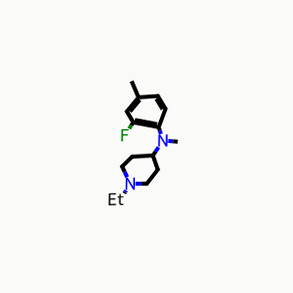 CCN1CCC(N(C)c2ccc(C)cc2F)CC1